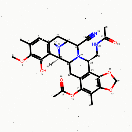 COc1c(C)cc2c(c1O)[C@@H]1C3Cc4c(OC(C)=O)c(C)c5c(c4[C@H](CNC(C)=O)N3C(C#N)C(C2)N1C)OCO5